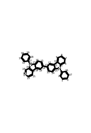 c1ccc(-n2c3ccccc3c3cc(-c4ccc5c(c4)c4ccncc4n5-c4ccccc4)ccc32)cc1